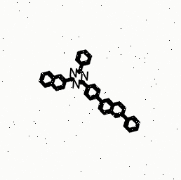 c1ccc(-c2ccc3cc(-c4ccc(-c5nc(-c6ccccc6)nc(-c6ccc7ccccc7c6)n5)cc4)ccc3c2)cc1